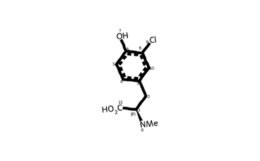 CN[C@H](Cc1ccc(O)c(Cl)c1)C(=O)O